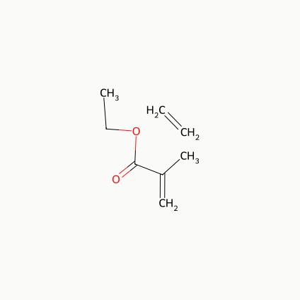 C=C.C=C(C)C(=O)OCC